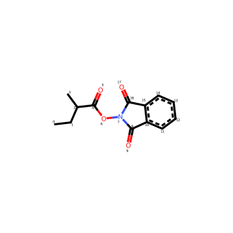 CCC(C)C(=O)ON1C(=O)c2ccccc2C1=O